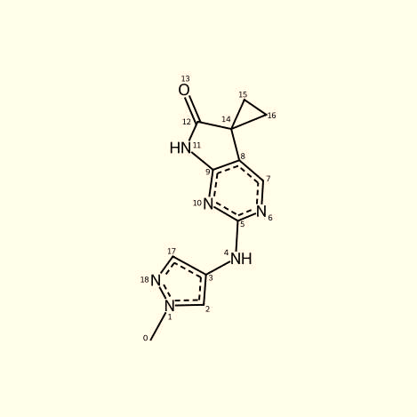 Cn1cc(Nc2ncc3c(n2)NC(=O)C32CC2)cn1